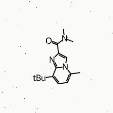 Cc1ccc(C(C)(C)C)c2nc(C(=O)N(C)C)cn12